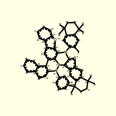 Cc1cc2c(cc1N1c3sc4cc5c(cc4c3B3c4c(cc6c(oc7ccccc76)c41)-c1c(ccc4ccccc14)N3c1ccccc1)C(C)(C)CCC5(C)C)C(C)(C)CCC2(C)C